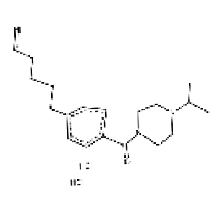 CC(C)N1CCN(C(=O)c2ccc(CCCCC=N)cc2)CC1.Cl.Cl